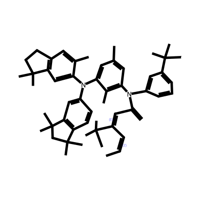 C=C(/C=C(\C=C/C)C(C)(C)C)N(c1cccc(C(C)(C)C)c1)c1cc(C)cc(N(c2ccc3c(c2)C(C)(C)CC3(C)C)c2cc3c(cc2C)CCC3(C)C)c1C